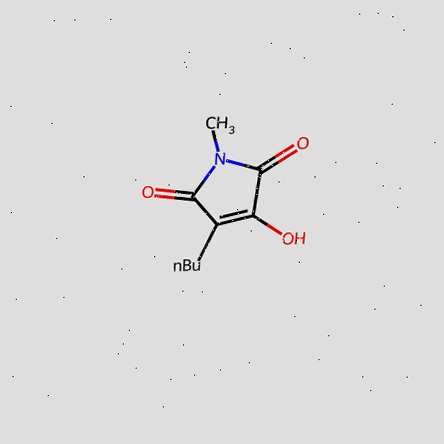 CCCCC1=C(O)C(=O)N(C)C1=O